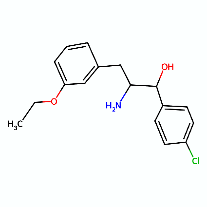 CCOc1cccc(CC(N)C(O)c2ccc(Cl)cc2)c1